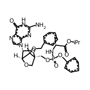 CC(C)OC(=O)[C@H](C)NP(=O)(OC[C@@]12CO[C@@H]([C@H](n3cnc4c(=O)[nH]c(N)nc43)O1)[C@@H]2OCc1ccccc1)Oc1ccccc1